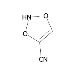 N#CC1=CONO1